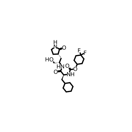 O=C(N[C@@H](CC1CCCCC1)C(=O)N[C@H](CO)C[C@@H]1CCNC1=O)OC1CCC(F)(F)CC1